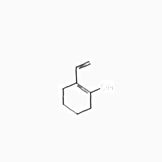 C=CC1=C(O)CCCC1